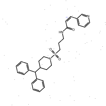 O=C(/C=C\c1cccnc1)NCCCS(=O)(=O)N1CCC(C(c2ccccc2)c2ccccc2)CC1